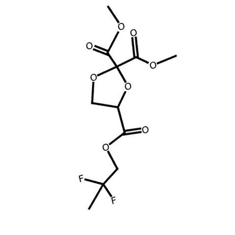 COC(=O)C1(C(=O)OC)OCC(C(=O)OCC(C)(F)F)O1